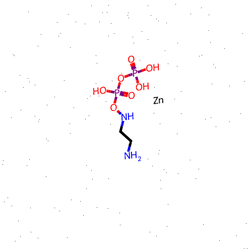 NCCNOP(=O)(O)OP(=O)(O)O.[Zn]